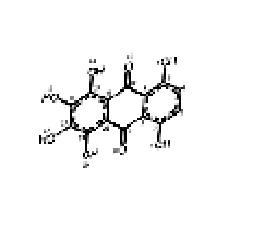 O=C1c2c(O)ccc(O)c2C(=O)c2c(O)c(O)c(O)c(O)c21